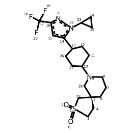 O=S1(=O)CC[C@@]2(CCCN(C3CCC(c4cc(C(F)(F)F)nn4C4CC4)CC3)C2)C1